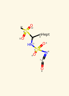 CCCCCCCC(NS(=O)(=O)N=C=O)S(C)(=O)=O